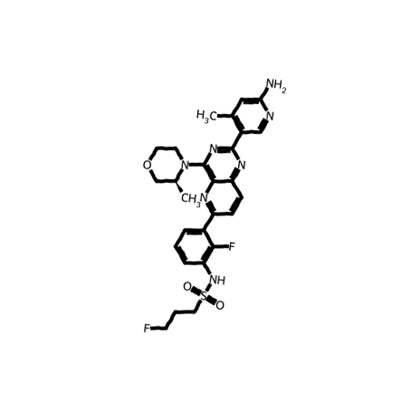 Cc1cc(N)ncc1-c1nc(N2CCOC[C@@H]2C)c2nc(-c3cccc(NS(=O)(=O)CCCF)c3F)ccc2n1